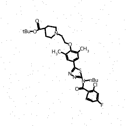 CCCCN(C(=O)c1ccc(F)cc1Cl)c1nnc(-c2cc(C)c(OCCN3CCC(C(=O)OC(C)(C)C)CC3)c(C)c2)s1